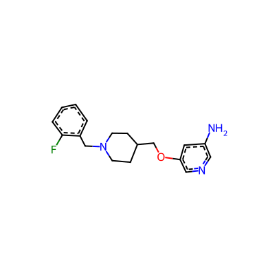 Nc1cncc(OCC2CCN(Cc3ccccc3F)CC2)c1